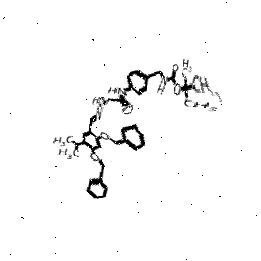 CC(C)c1cc(C=NNC(=O)Nc2ccc(CNC(=O)OC(C)(C)C)cc2)c(OCc2ccccc2)cc1OCc1ccccc1